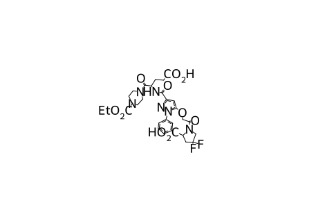 CCOC(=O)N1CCN(C(=O)C(CCC(=O)O)NC(=O)c2cc(OCC(=O)N3CC(F)(F)CC3C(=O)O)n(-c3ccccc3)n2)CC1